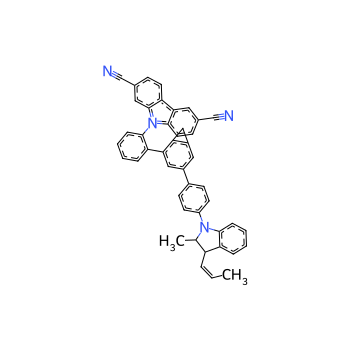 C/C=C\C1c2ccccc2N(c2ccc(-c3cc4c(c(-c5ccccc5-n5c6ccc(C#N)cc6c6ccc(C#N)cc65)c3)C4)cc2)C1C